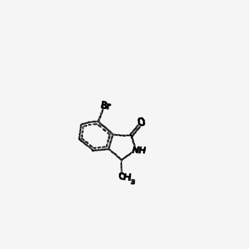 CC1NC(=O)c2c(Br)cccc21